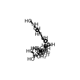 C1CNCCN1.C[N+](C)(C)CCO.NCC(=O)O.NCCN.OCCN(CCO)CCO.OCCNCCO.c1c[nH]cn1.c1ccc(CNCCNCc2ccccc2)cc1